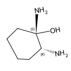 N[C@@H]1CCCC[C@]1(N)O